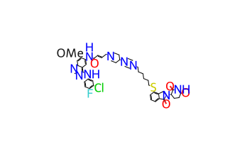 COc1cc2ncnc(Nc3ccc(F)c(Cl)c3)c2cc1NC(=O)/C=C/CN1CCC(N2CCN(CCCCCCSc3cccc4c3CN(C3CCC(=O)NC3=O)C4=O)CC2)CC1